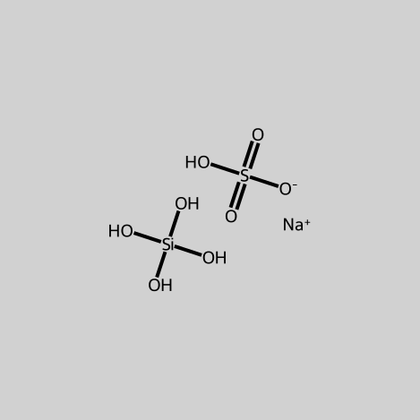 O=S(=O)([O-])O.O[Si](O)(O)O.[Na+]